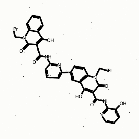 CC(C)Cn1c(=O)c(C(=O)Nc2cccc(-c3ccc4c(c3)c(O)c(C(=O)Nc3ncccc3O)c(=O)n4CC(C)C)n2)c(O)c2ccccc21